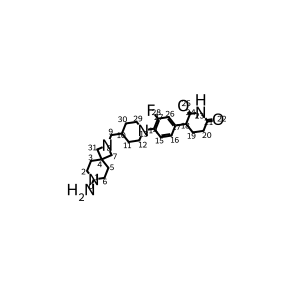 NN1CCC2(CC1)CN(CC1CCN(c3ccc(C4CCC(=O)NC4=O)cc3F)CC1)C2